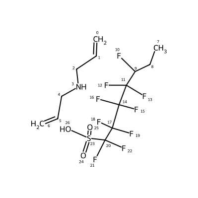 C=CCNCC=C.CCC(F)C(F)(F)C(F)(F)C(F)(F)C(F)(F)S(=O)(=O)O